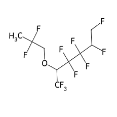 CC(F)(F)COC(C(F)(F)F)C(F)(F)C(F)(F)C(F)CF